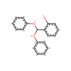 [O]c1ccccc1C(Oc1ccccc1)Oc1ccccc1